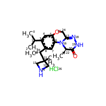 CC(C)c1cc2c(cc1[C@@H](C)C1(C)CNC1)N1C(=NNC(=O)[C@H]1C)CO2.Cl